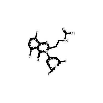 O=C(O)NCCc1nc2c(F)ccc(Cl)c2c(=O)n1-c1cc(F)cc(F)c1